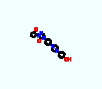 O=C1CCCC1n1ncn(-c2ccc(N3CCN(c4ccc(O)cc4)CC3)cc2)c1=O